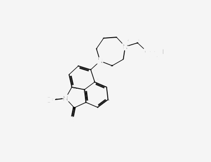 CCN1C(=O)c2cccc3c(N4CCCN(CC(=O)O)CC4)ccc1c23